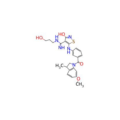 COc1ccc2c(c1)N(C(=O)c1cccc(Nc3snc(O)c3C(=N)NCCCO)c1)CC2C